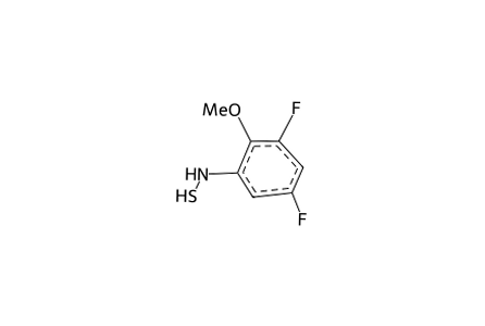 COc1c(F)cc(F)cc1NS